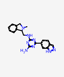 CN1Cc2ccccc2C1CNc1nc(N)nc(-c2ccc3cn[nH]c3c2)n1